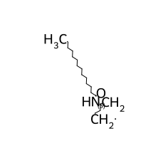 [CH2]CC[C@H]([CH2])NC(=O)CCCCCCCCCCCCC